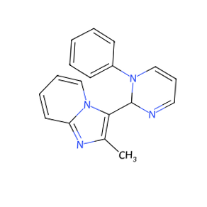 Cc1nc2ccccn2c1C1N=CC=CN1c1ccccc1